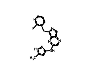 Cc1cc(Nc2cnc3cnn(Cc4cccnc4F)c3n2)n[nH]1